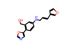 OCc1cc(NC/C=C/c2ccoc2)ccc1-c1cnco1